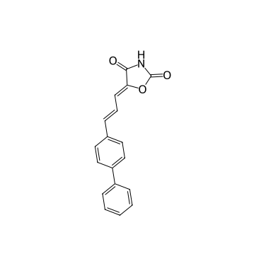 O=C1NC(=O)C(=CC=Cc2ccc(-c3ccccc3)cc2)O1